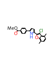 COC(=O)c1ccc(-c2ccc(-c3oc4c(C)ccc(C)c4c3Cl)[nH]2)cc1